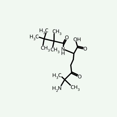 CC(C)(N)C(=O)CCC(NC(=O)C(C)(C)C(C)(C)C)C(=O)O